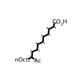 CCCCCCCCC(CCCCCCCCC(=O)O)C(C)=O